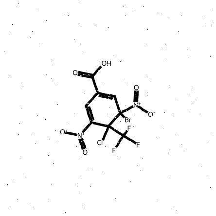 O=C(O)C1=CC(Br)([N+](=O)[O-])C(Cl)(C(F)(F)F)C([N+](=O)[O-])=C1